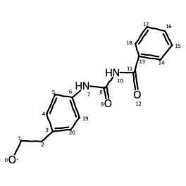 [O]CCc1ccc(NC(=O)NC(=O)c2ccccc2)cc1